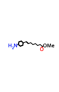 COC(=O)CCCCC/C=C/c1ccc(N)cc1